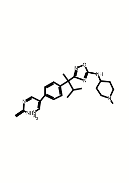 C=C(N)/N=C\C(=C/N)c1ccc(C(C)(c2noc(NC3CCN(C)CC3)n2)C(C)C)cc1